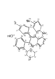 Cl.Nc1ncnc2nc(-c3cccnc3C3CNCCO3)c(-c3ccc(F)cc3)c(-c3cccc(Br)c3)c12